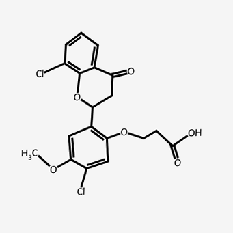 COc1cc(C2CC(=O)c3cccc(Cl)c3O2)c(OCCC(=O)O)cc1Cl